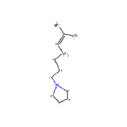 CCCC(=C[SiH2]CCCN1CCCC1)CCC